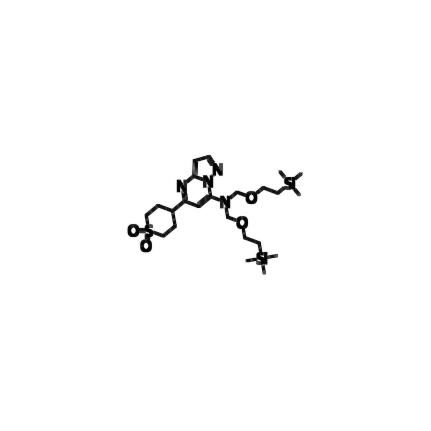 C[Si](C)(C)CCOCN(COCC[Si](C)(C)C)c1cc(C2CCS(=O)(=O)CC2)nc2ccnn12